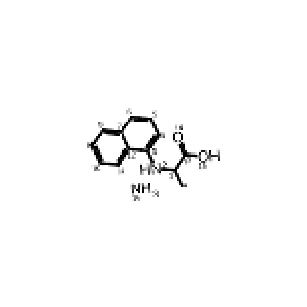 CC(Nc1cccc2ccccc12)C(=O)O.N